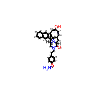 NOc1ccc(CCN2C[C@H]3C4=CC5(Cc6ccc7ccccc7c6)C(/C=C\C(O)=C/4)C[C@@H](C2=O)N35)cc1